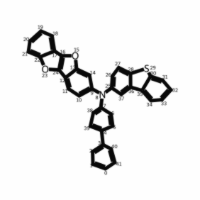 c1ccc(-c2ccc(N(c3ccc4c(c3)oc3c5ccccc5oc43)c3ccc4sc5ccccc5c4c3)cc2)cc1